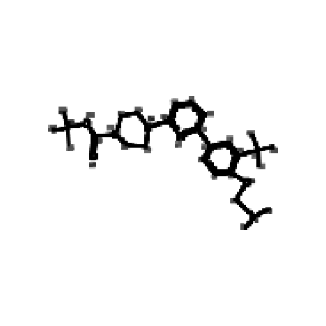 CC(C)COc1ccc(-c2cccc(N3CCN(C(=O)OC(C)(C)C)CC3)n2)cc1C(C)(C)C